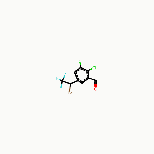 O=Cc1cc(C(Br)C(F)(F)F)cc(Cl)c1Cl